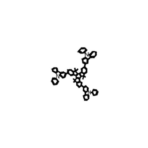 CC1(C)c2ccc(-c3ccc4c(c3)c3ccccc3n4-c3ccccc3)cc2-c2c1c1c(c3c2C(C)(C)c2ccc(-c4ccc5c(c4)c4ccccc4n5-c4ccccc4)cc2-3)C(C)(C)c2ccc(-c3ccc4c(c3)c3ccccc3n4-c3ccccc3)cc2-1